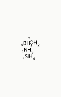 B.N.O.[SiH4]